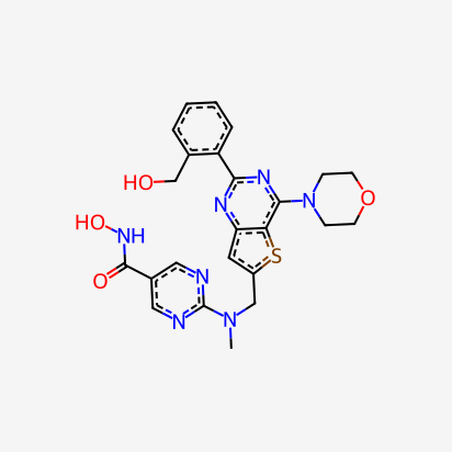 CN(Cc1cc2nc(-c3ccccc3CO)nc(N3CCOCC3)c2s1)c1ncc(C(=O)NO)cn1